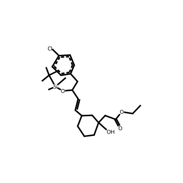 CCOC(=O)CC1(O)CCCC(/C=C/C(Cc2ccc(Cl)cc2)O[Si](C)(C)C(C)(C)C)C1